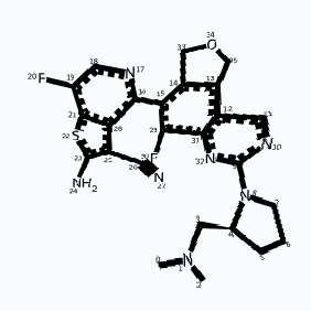 CN(C)C[C@@H]1CCCN1c1ncc2c3c(c(-c4ncc(F)c5sc(N)c(C#N)c45)c(F)c2n1)COC3